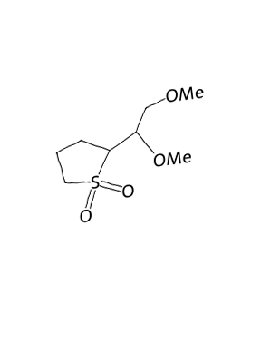 COCC(OC)C1CCCS1(=O)=O